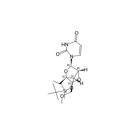 CC[C@]12O[C@@H](n3ccc(=O)[nH]c3=O)[C@H](O[C@H]1COC)[C@@H]2O[Si](C)(C)C(C)(C)C